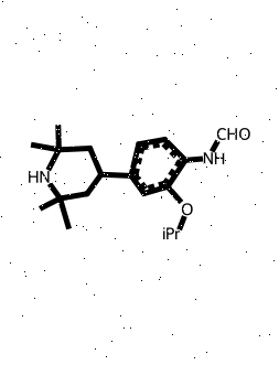 CC(C)Oc1cc(C2CC(C)(C)NC(C)(C)C2)ccc1NC=O